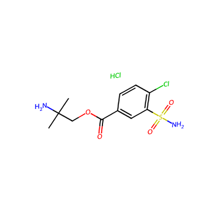 CC(C)(N)COC(=O)c1ccc(Cl)c(S(N)(=O)=O)c1.Cl